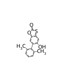 Cc1cccc(C)c1-c1cc2oc(=O)sc2cc1O